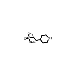 COP(C)(=O)CCC1CCNCC1